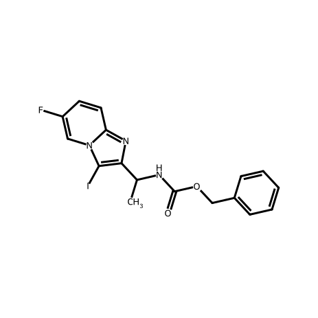 CC(NC(=O)OCc1ccccc1)c1nc2ccc(F)cn2c1I